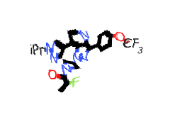 C=C(F)C(=O)N1CC(n2nc(-c3ccc(OC(F)(F)F)cc3)c3nccc(-c4cnn(C(C)C)c4)c32)C1